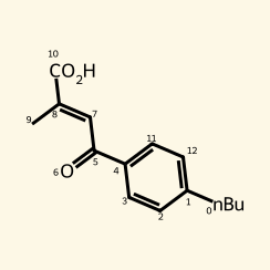 CCCCc1ccc(C(=O)/C=C(\C)C(=O)O)cc1